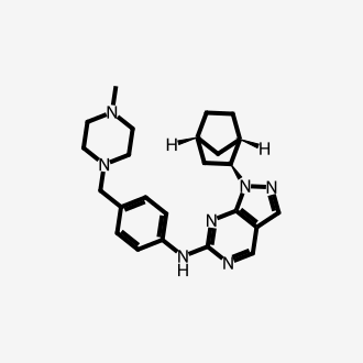 CN1CCN(Cc2ccc(Nc3ncc4cnn([C@H]5C[C@@H]6CC[C@H]5C6)c4n3)cc2)CC1